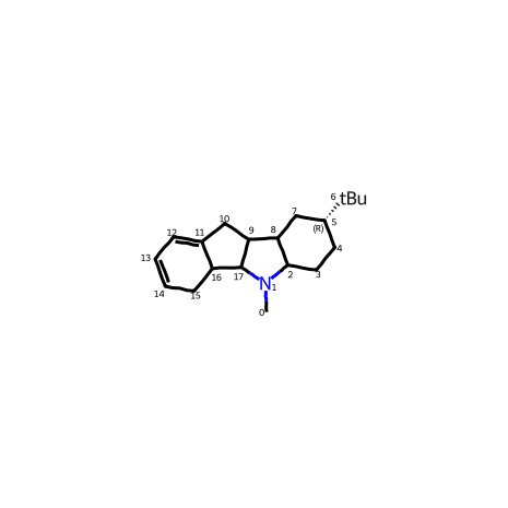 CN1C2CC[C@@H](C(C)(C)C)CC2C2CC3=CC=CCC3C21